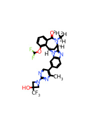 [2H]C([2H])([2H])N1C(=O)c2cccc(OC(F)F)c2[C@H]2C[C@@H]1c1nc3ccc(-c4cnc(N5CC(O)(C(F)(F)F)C5)nc4C)cc3n12